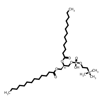 CCCCCCCCCCCCC(=O)OC[C@H](COP(=O)(O)OCC[N+](C)(C)C)OC(=O)CCCCCCCCCCCC